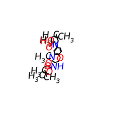 CN1C(=O)[C@@H](NC(=O)OC(C)(C)C)COc2ccc(N(CC(C)(C)C)C(=O)O)cc21